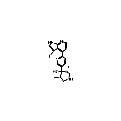 C[C@@H]1CNC[C@H](C)C1(O)c1ccc(-c2ccnc3[nH]cc(F)c23)nc1